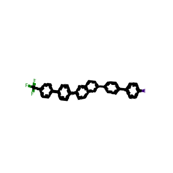 FC(F)(F)c1ccc(-c2ccc(-c3ccc4cc(-c5ccc(-c6ccc(I)cc6)cc5)ccc4c3)cc2)cc1